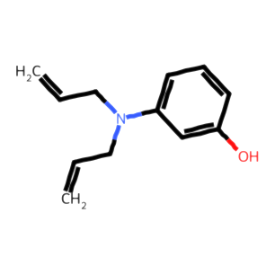 C=CCN(CC=C)c1cccc(O)c1